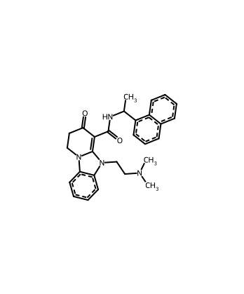 CC(NC(=O)C1=C2N(CCC1=O)c1ccccc1N2CCN(C)C)c1cccc2ccccc12